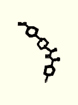 COc1ccc(N2CCN(C(=S)NC(=O)c3ccc(F)cc3)CC2)cc1